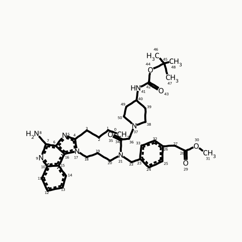 CCCCc1nc2c(N)nc3ccccc3c2n1CCCN(Cc1ccc(CC(=O)OC)cc1)C(=O)CN1CCC(NC(=O)OC(C)(C)C)CC1